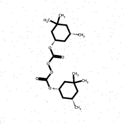 C[C@@H]1C[C@H](OC(=O)OOC(=O)O[C@H]2C[C@@H](C)CC(C)(C)C2)CC(C)(C)C1